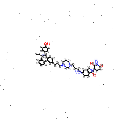 CC/C(=C(\c1ccc(O)cc1)c1ccc(CCCN2CCCN(CCCNc3ccc4c(c3)CN(C3CCC(=O)NC3=O)C4=O)CC2)cc1)c1ccccc1